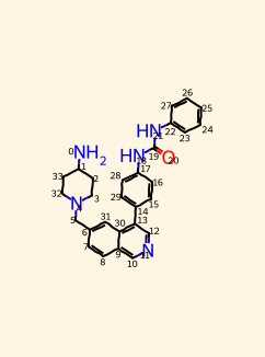 NC1CCN(Cc2ccc3cncc(-c4ccc(NC(=O)Nc5ccccc5)cc4)c3c2)CC1